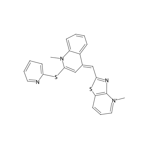 CN1C(Sc2ccccn2)=C/C(=C\c2nc3c(ccc[n+]3C)s2)c2ccccc21